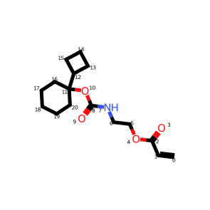 C=CC(=O)OCCNC(=O)OC1(C2CCC2)CCCCC1